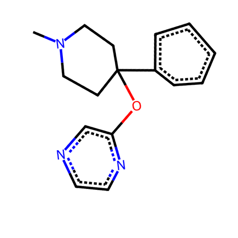 CN1CCC(Oc2cnccn2)(c2ccccc2)CC1